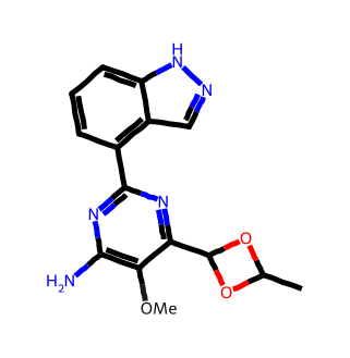 COc1c(N)nc(-c2cccc3[nH]ncc23)nc1C1OC(C)O1